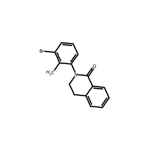 Cc1c(Br)cccc1N1CCc2ccccc2C1=O